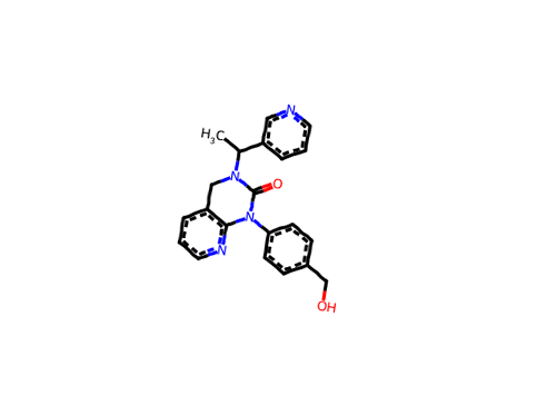 CC(c1cccnc1)N1Cc2cccnc2N(c2ccc(CO)cc2)C1=O